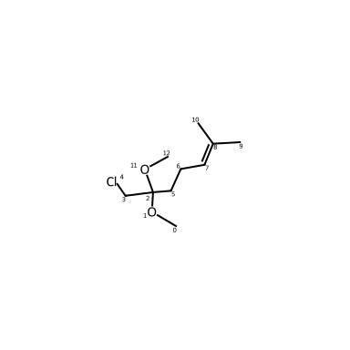 COC(CCl)(CCC=C(C)C)OC